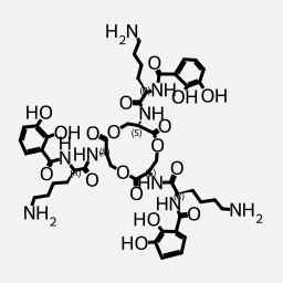 NCCCC[C@@H](NC(=O)c1cccc(O)c1O)C(=O)N[C@H]1COC(=O)[C@@H](NC(=O)[C@@H](CCCCN)NC(=O)c2cccc(O)c2O)COC(=O)[C@@H](NC(=O)[C@@H](CCCCN)NC(=O)c2cccc(O)c2O)COC1=O